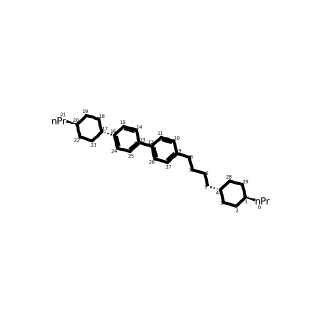 CCC[C@H]1CC[C@H](CCCCc2ccc(-c3ccc([C@H]4CC[C@H](CCC)CC4)cc3)cc2)CC1